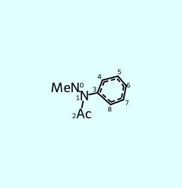 CNN(C(C)=O)c1ccccc1